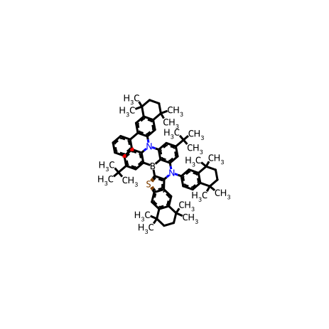 CC(C)(C)c1ccc2c(c1)B1c3sc4cc5c(cc4c3N(c3ccc4c(c3)C(C)(C)CCC4(C)C)c3cc(C(C)(C)C)cc(c31)N2c1cc2c(cc1-c1ccccc1)C(C)(C)CCC2(C)C)C(C)(C)CCC5(C)C